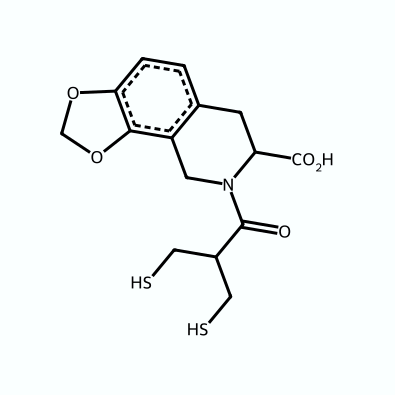 O=C(O)C1Cc2ccc3c(c2CN1C(=O)C(CS)CS)OCO3